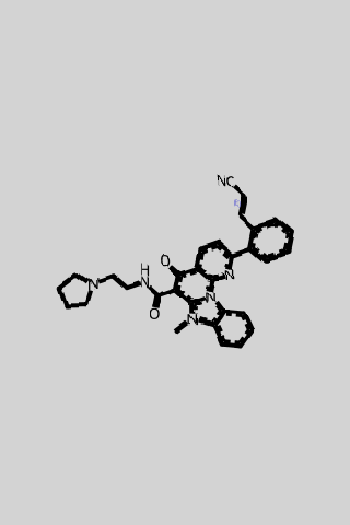 Cn1c2ccccc2n2c3nc(-c4ccccc4/C=C/C#N)ccc3c(=O)c(C(=O)NCCN3CCCC3)c12